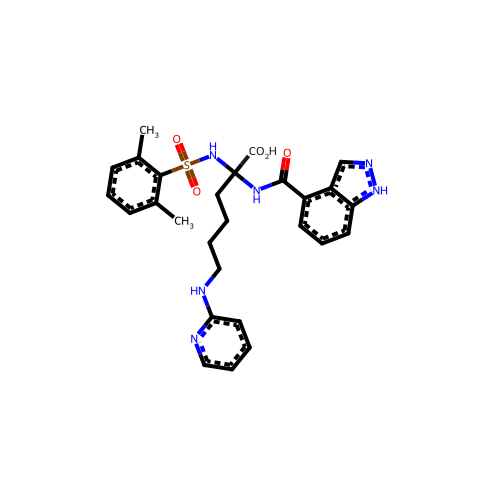 Cc1cccc(C)c1S(=O)(=O)NC(CCCCNc1ccccn1)(NC(=O)c1cccc2[nH]ncc12)C(=O)O